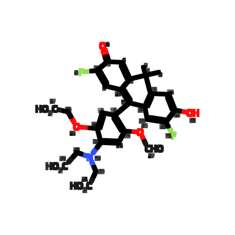 CC1(C)C2=CC(=O)C(F)=CC2=C(c2cc(OCC(=O)O)c(N(CC(=O)O)CC(=O)O)cc2OC=O)c2cc(F)c(O)cc21